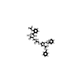 O=C(CO[C@@H]1C[C@@H](CNc2ccccn2)N(C(=O)OCc2ccccc2)C1)NC[C@H](NC(=O)c1ccccc1SC(F)F)C(=O)O